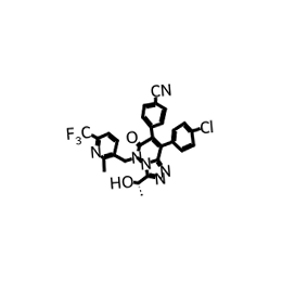 Cc1nc(C(F)(F)F)ccc1Cn1c(=O)c(-c2ccc(C#N)cc2)c(-c2ccc(Cl)cc2)c2nnc([C@H](C)O)n21